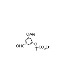 CCOC(=O)C(C)(C)Oc1cc(C=O)cc(OC)c1